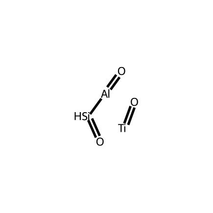 [O]=[Al][SiH]=O.[O]=[Ti]